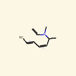 C=CN(C)C(C)/C=C\C=C\C#N